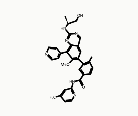 COc1c(-c2cc(C(=O)Nc3cc(C(F)(F)F)ccn3)ccc2C)cc2cnc(N[C@@H](C)CO)nc2c1-c1ccncc1